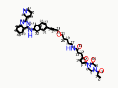 C=CC(=O)N1CCN(c2ccc(CCC(=O)NCCCCCOCC#Cc3ccc4c(c3)CC(Nc3nc(-c5cccnc5)nc5ccccc35)C4)o2)C(=O)C1